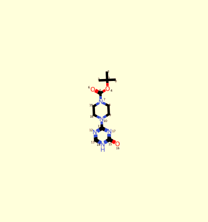 CC(C)(C)OC(=O)N1CCN(c2nc[nH]c(=O)n2)CC1